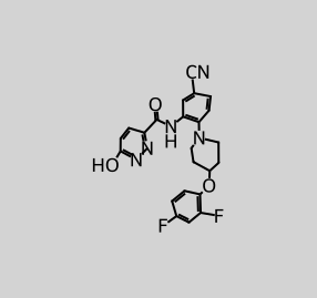 N#Cc1ccc(N2CCC(Oc3ccc(F)cc3F)CC2)c(NC(=O)c2ccc(O)nn2)c1